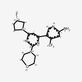 Nc1cc(C(F)(F)F)c(-c2cc(N3CC[C@H](F)C3)nc(N3CCOCC3)n2)cn1